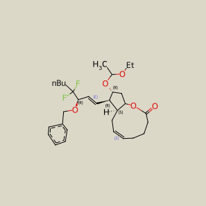 CCCCC(F)(F)[C@@H](/C=C/[C@@H]1[C@@H]2C/C=C\CCCC(=O)OC2C[C@H]1OC(C)OCC)OCc1ccccc1